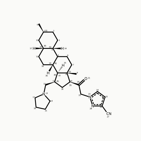 C[C@H]1CC[C@@H]2C3CC[C@@]4(C)[C@@H]([C@H](CN5CCCC5)C[C@@H]4C(=O)Cn4ccc(C#N)n4)[C@@H]3CC[C@@H]2C1